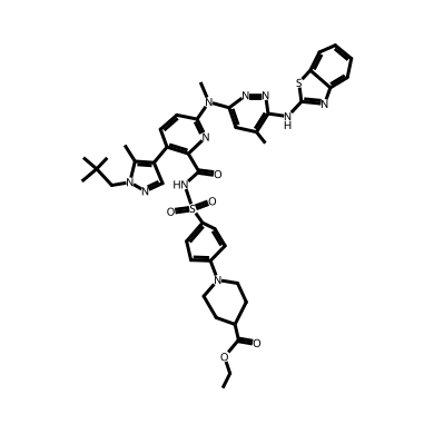 CCOC(=O)C1CCN(c2ccc(S(=O)(=O)NC(=O)c3nc(N(C)c4cc(C)c(Nc5nc6ccccc6s5)nn4)ccc3-c3cnn(CC(C)(C)C)c3C)cc2)CC1